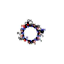 C/C=C/C[C@@H](C)[C@@H](O)[C@H]1C(=O)N[C@@H](CC)C(=O)N(C)CC(=O)N(C)[C@@H](CC(C)C)C(=O)N[C@@H](C(C)C)C(=O)N(C)[C@@H](CC(C)C)C(=O)N[C@@H](C)C(=O)N[C@H](C)C(=O)N(C)[C@@H](CC(C)C)C(=O)N(C)[C@@H](CC(C)C)C(=O)N(C)[C@@H](C(C)C)C(=O)N1C.C1CCNCC1